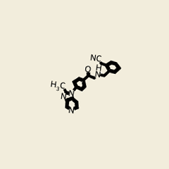 Cc1nc2cnccc2n1-c1ccc(C(=O)CNCc2ccccc2CC#N)cc1